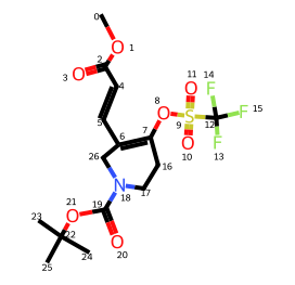 COC(=O)/C=C/C1=C(OS(=O)(=O)C(F)(F)F)CCN(C(=O)OC(C)(C)C)C1